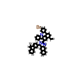 C=Cc1ccc2c3ccc(Br)cc3n3c4ccccc4c4c(-c5nc(-c6ccc7c(c6)-c6ccccc6C7(C)C)c6cc7ccccc7cc6n5)cc1c2c43